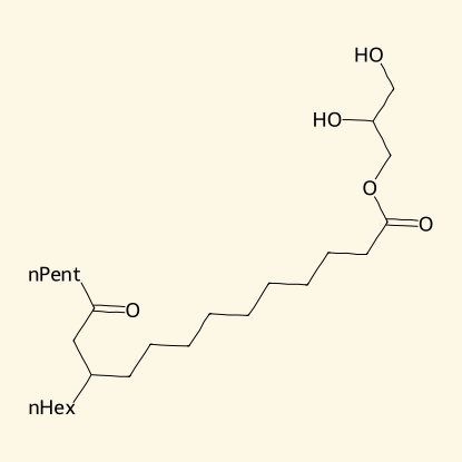 CCCCCCC(CCCCCCCCCC(=O)OCC(O)CO)CC(=O)CCCCC